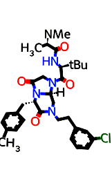 CN[C@@H](C)C(=O)N[C@H](C(=O)N1CC(=O)N2[C@@H]1CN(CCc1cccc(Cl)c1)C(=O)[C@@H]2Cc1ccc(C)cc1)C(C)(C)C